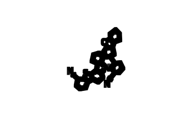 N#Cc1cccc(-c2ccc3oc4ccccc4c3c2)c1-n1c2ccccc2c2c3sc4c(C#N)cccc4c3ccc21